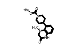 CN1CC(=O)Nc2cccc(C3CCN(C(=O)OC(C)(C)C)CC3)c21